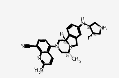 Bc1ccc2c(N3C[C@@H](C)N4Cc5cc(N[C@H]6CNC[C@H]6F)ccc5[C@H]4C3)ccc(C#N)c2n1